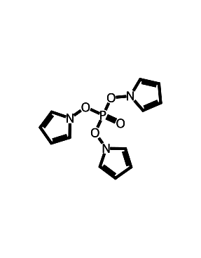 O=P(On1cccc1)(On1cccc1)On1cccc1